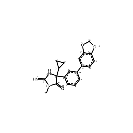 CN1C(=N)NC(c2cccc(-c3ccc4c(c3)OCO4)c2)(C2CC2)C1=O